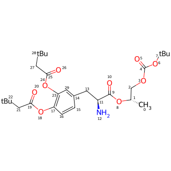 C[C@@H](COC(=O)OC(C)(C)C)OC(=O)[C@@H](N)Cc1ccc(OC(=O)CC(C)(C)C)c(OC(=O)CC(C)(C)C)c1